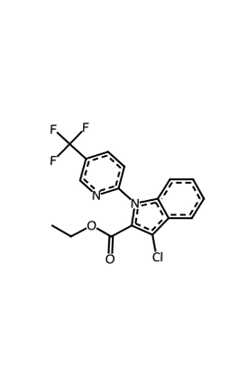 CCOC(=O)c1c(Cl)c2ccccc2n1-c1ccc(C(F)(F)F)cn1